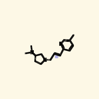 Cc1ccc(/C=C/CN2CCC(N(C)C)C2)nc1